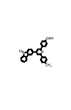 CCn1c2ccccc2c2cc(-c3cc(-c4ccc(C)cc4)nc(-c4ccc(OC)cc4)c3)ccc21